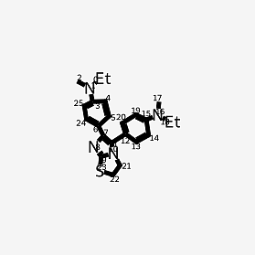 CCN(C)c1ccc(-c2nc3n(c2-c2ccc(N(C)CC)cc2)CCS3)cc1